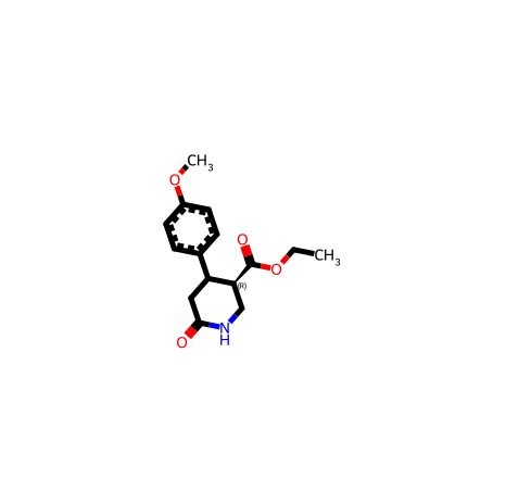 CCOC(=O)[C@H]1CNC(=O)CC1c1ccc(OC)cc1